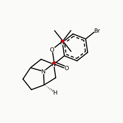 CC(C)(C)OC(=O)N1C2CC[C@@H]1CN(c1ccc(Br)cn1)C2